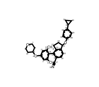 Cc1cc(OC2CCOCC2)cc(C)c1-c1c(C#N)ccc2c1CCC2Oc1ccc(C2CC2)cc1